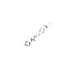 C/C(=N\NC(=S)N1CCN(CC(=O)O)CC1)c1csc(-c2ccc(Br)cc2)c1O